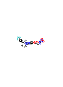 C[C@@H]1CN(c2ccc(OC[C@@H]3CCn4cc([N+](=O)[O-])nc4O3)cc2)C[C@H](C)N1CCCc1ccc(C(F)(F)F)cc1